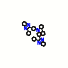 c1ccc(-c2ccccc2N(c2ccc(-c3nc4ccccc4nc3-c3ccccc3)cc2)c2ccc(-c3nc4ccccc4nc3-c3ccccc3)cc2)cc1